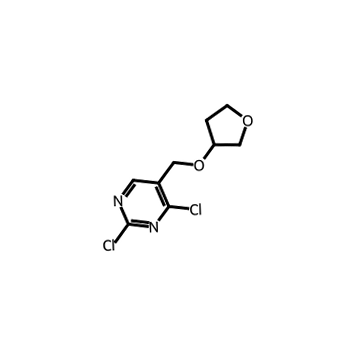 Clc1ncc(COC2CCOC2)c(Cl)n1